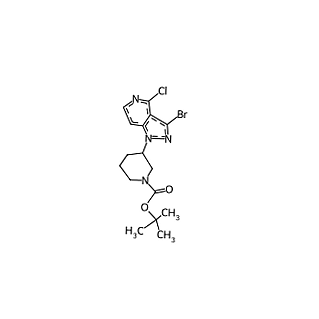 CC(C)(C)OC(=O)N1CCCC(n2nc(Br)c3c(Cl)nccc32)C1